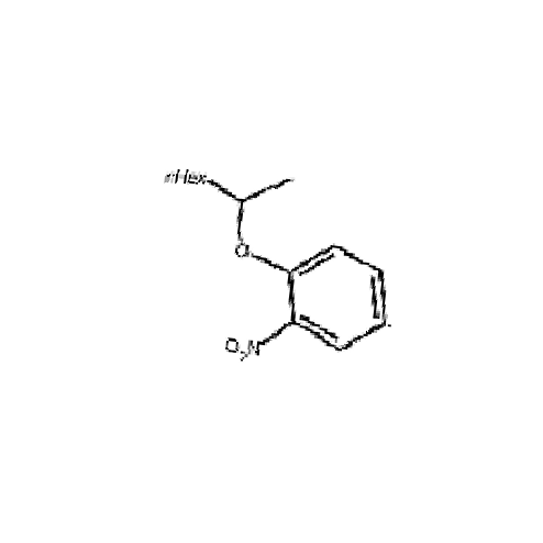 CCCCCCC(C)Oc1cc[c]cc1[N+](=O)[O-]